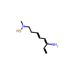 C=C/C(N)=C\C=C\CCN(C)S